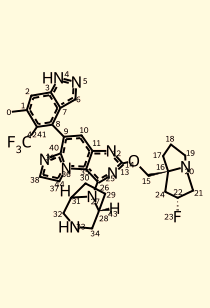 Cc1cc2[nH]ncc2c(-c2cc3nc(OC[C@@]45CCCN4C[C@H](F)C5)nc(N4[C@@H]5CC[C@H]4CNC5)c3n3ccnc23)c1C(F)(F)F